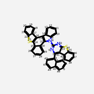 c1ccc2c(-c3nc(-n4c5ccccc5c5c6c7ccccc7sc6c6ccccc6c54)nc4sc5ccccc5c34)cccc2c1